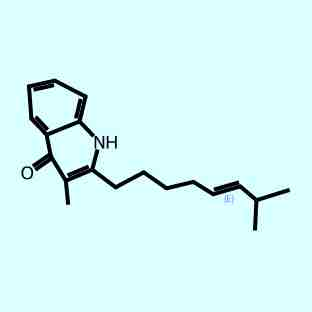 Cc1c(CCCC/C=C/C(C)C)[nH]c2ccccc2c1=O